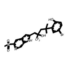 CC(C)(CC(O)(Cc1cc2cc(S(C)(=O)=O)ncc2[nH]1)C(F)(F)F)c1cc(Br)ccc1O